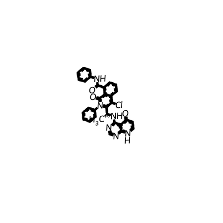 C[C@H](Nc1ncnc2[nH]ccc(=O)c12)c1c(Cl)c2cccc(C(=O)Nc3ccccc3)c2c(=O)n1-c1ccccc1